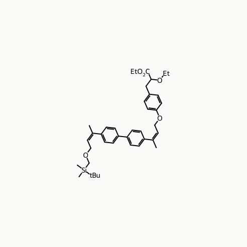 CCOC(=O)C(Cc1ccc(OC/C=C(/C)c2ccc(-c3ccc(/C(C)=C\COC[Si](C)(C)C(C)(C)C)cc3)cc2)cc1)OCC